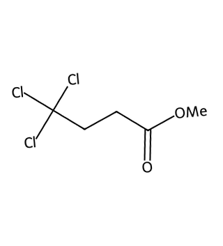 COC(=O)CCC(Cl)(Cl)Cl